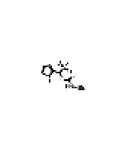 CC(C)(C)NC(=O)OC(c1ccc[nH]1)S(C)(=O)=O